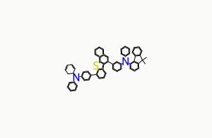 CC1(C)c2ccccc2-c2c(N(c3ccccc3)c3cccc(-c4cc5ccccc5c5sc6c(-c7ccc(N(c8ccccc8)C8C=CC=CC8)cc7)cccc6c45)c3)cccc21